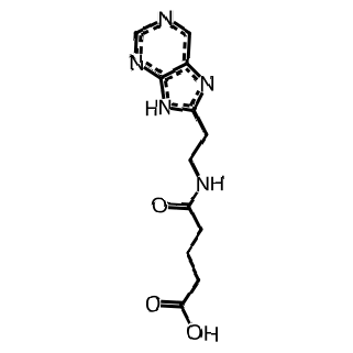 O=C(O)CCCC(=O)NCCc1nc2cncnc2[nH]1